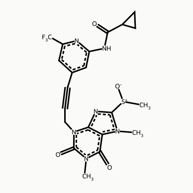 Cn1c(=O)c2c(nc([S+](C)[O-])n2C)n(CC#Cc2cc(NC(=O)C3CC3)nc(C(F)(F)F)c2)c1=O